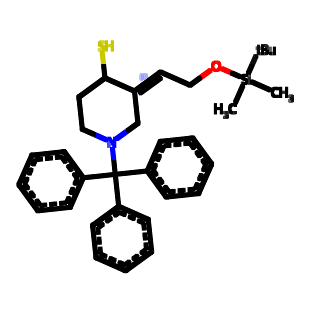 CC(C)(C)[Si](C)(C)OC/C=C1\CN(C(c2ccccc2)(c2ccccc2)c2ccccc2)CCC1S